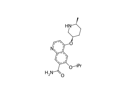 CC(C)Oc1cc2c(O[C@@H]3CC[C@H](C)NC3)ccnc2cc1C(N)=O